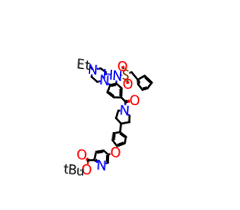 CCN1CCN(c2ccc(C(=O)N3CCC(c4ccc(Oc5ccc(C(=O)OC(C)(C)C)nc5)cc4)CC3)cc2NS(=O)(=O)Cc2ccccc2)CC1